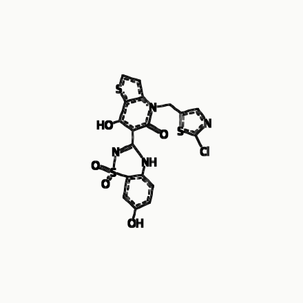 O=c1c(C2=NS(=O)(=O)c3cc(O)ccc3N2)c(O)c2sccc2n1Cc1cnc(Cl)s1